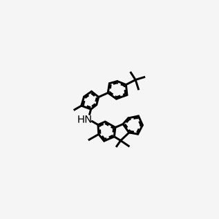 Cc1ccc(-c2ccc(C(C)(C)C)cc2)cc1Nc1cc2c(cc1C)C(C)(C)c1ccccc1-2